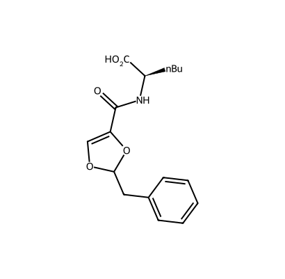 CCCC[C@@H](NC(=O)C1=COC(Cc2ccccc2)O1)C(=O)O